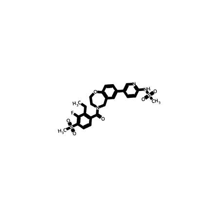 CCc1c(C(=O)N2CCOc3ccc(-c4ccc(NS(C)(=O)=O)nc4)cc3C2)ccc(S(C)(=O)=O)c1F